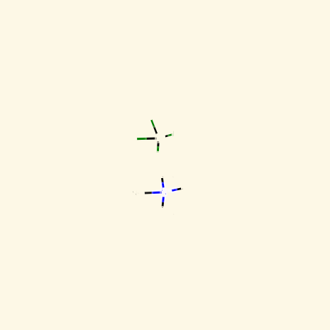 C[N+](C)(C)C#N.F[B-](F)(F)F